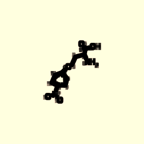 NC(CCOc1ccc([N+](=O)[O-])cc1)C(=O)O